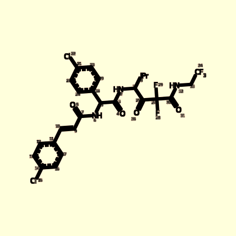 CC(C)C(NC(=O)C(NC(=O)C=Cc1ccc(Cl)cc1)c1ccc(Cl)cc1)C(=O)C(F)(F)C(=O)NCC(F)(F)F